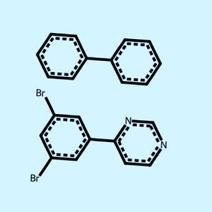 Brc1cc(Br)cc(-c2ccncn2)c1.c1ccc(-c2ccccc2)cc1